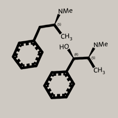 CN[C@@H](C)Cc1ccccc1.CN[C@@H](C)[C@H](O)c1ccccc1